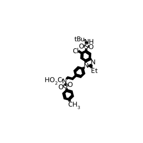 CCc1nc2cc(S(=O)(=O)NC(C)(C)C)c(Cl)cc2n1-c1ccc(CCN(C(=O)O)S(=O)(=O)c2ccc(C)cc2)cc1